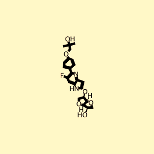 CC(C)(O)COc1ccc(-c2nc3cc(O[C@@H]4CO[C@H]5[C@@H]4OC[C@H]5O)[nH]c3cc2F)cc1